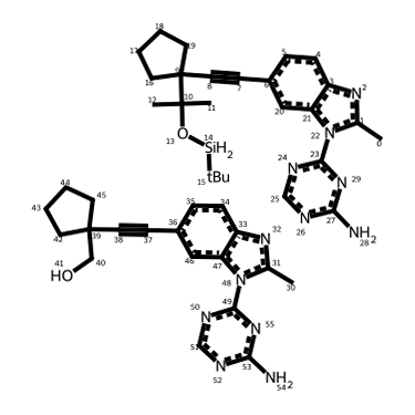 Cc1nc2ccc(C#CC3(C(C)(C)O[SiH2]C(C)(C)C)CCCC3)cc2n1-c1ncnc(N)n1.Cc1nc2ccc(C#CC3(CO)CCCC3)cc2n1-c1ncnc(N)n1